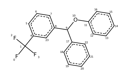 FC(F)(F)c1cccc(C(Oc2[c]cccc2)c2ccccc2)c1